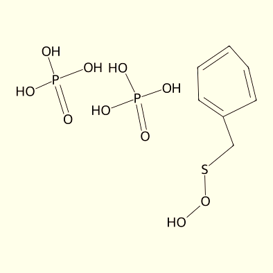 O=P(O)(O)O.O=P(O)(O)O.OOSCc1ccccc1